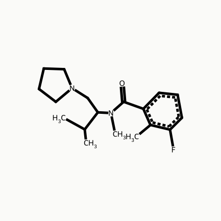 Cc1c(F)cccc1C(=O)N(C)C(CN1CCCC1)C(C)C